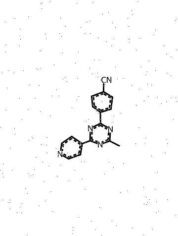 Cc1nc(-c2ccncc2)nc(-c2ccc(C#N)cc2)n1